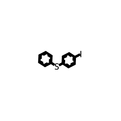 Ic1ccc(Sc2ccccc2)cc1